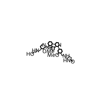 COc1cc(-c2nccc(-c3cccc(Nc4nccc(CNCCO)c4OC)c3Cl)c2Cl)ccc1CNC[C@H]1CCC(=O)N1